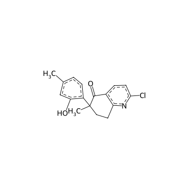 Cc1ccc(C2(C)CCc3nc(Cl)ccc3C2=O)c(O)c1